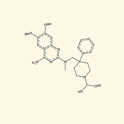 COc1cc2nc(N(C)CC3(c4ccccc4)CCN(C(O)C=O)CC3)nc(N)c2cc1OC